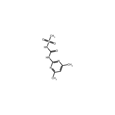 Cc1cc(C)nc(NC(=O)NS(C)(=O)=O)n1